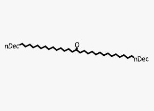 CCCCCCCCCCCCCCCCCCCCCCCCC(=O)CCCCCCCCCCCCCCCCCCCCCCCC